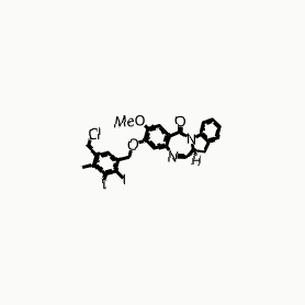 COc1cc2c(cc1OCc1cc(CCl)c(C)c(I)c1I)N=C[C@@H]1Cc3ccccc3N1C2=O